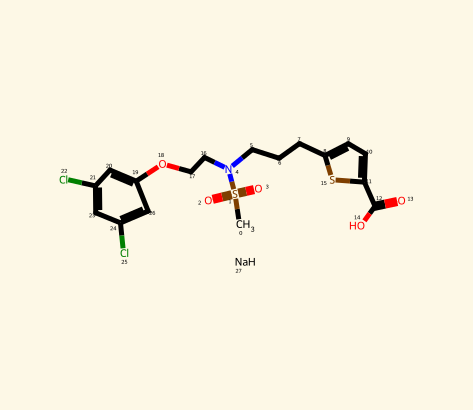 CS(=O)(=O)N(CCCc1ccc(C(=O)O)s1)CCOc1cc(Cl)cc(Cl)c1.[NaH]